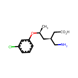 C[C@@H](C[C@H](CN)CC(=O)O)Oc1cccc(Cl)c1